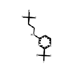 FC(F)(F)CCNc1ccnc(C(F)(F)F)n1